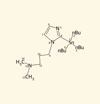 CCC[CH2][Sn]([CH2]CCC)([CH2]CCC)[c]1nccn1CCCN(C)C